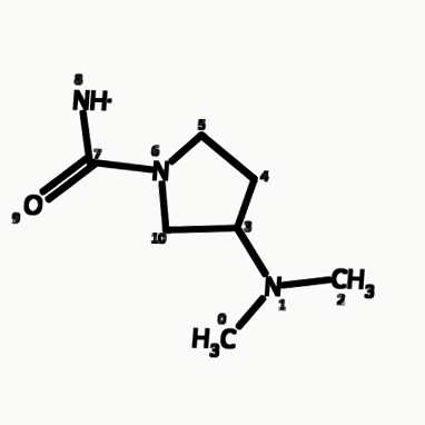 CN(C)C1CCN(C([NH])=O)C1